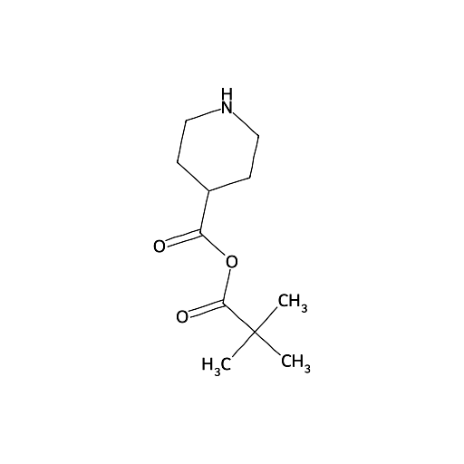 CC(C)(C)C(=O)OC(=O)C1CCNCC1